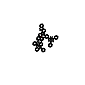 c1ccc(-c2nc(-c3ccccc3)nc(-c3ccc(-n4c5ccccc5c5c6sc7ccccc7c6ccc54)c(-c4cccc(-c5ccc6c7c5N(c5ccccc5)c5ccccc5B7c5ccccc5N6c5ccccc5)c4)c3)n2)cc1